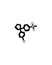 CS(=O)(=O)c1ccc(C2(c3ccc(Cl)cc3)C=CCC2)cc1